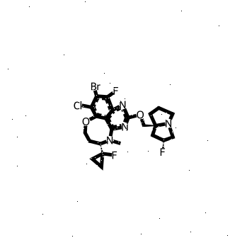 CN1c2nc(OC[C@@]34CCCN3C[C@H](F)C4)nc3c(F)c(Br)c(Cl)c(c23)OCC[C@H]1C1(F)CC1